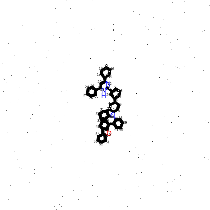 C1=CC2C(CC1c1cccc(C3=NC(c4ccccc4)=CC(c4ccccc4)N3)c1)c1ccccc1N2c1ccccc1-c1cccc2c1oc1ccccc12